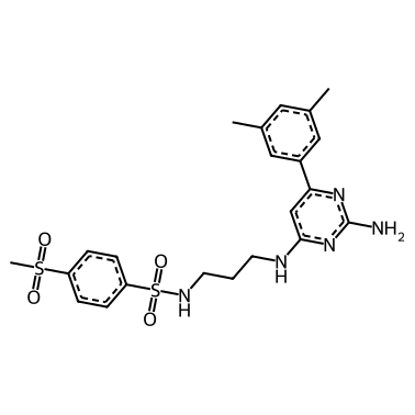 Cc1cc(C)cc(-c2cc(NCCCNS(=O)(=O)c3ccc(S(C)(=O)=O)cc3)nc(N)n2)c1